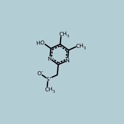 Cc1nc(C[S+](C)[O-])nc(O)c1C